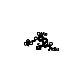 COc1cc2c(cc1OCCOS(C)(=O)=O)-c1c(-c3cccs3)cc(C(=O)N(C)C(C)(C)C)n1CC2